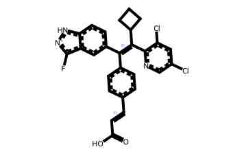 O=C(O)/C=C/c1ccc(/C(=C(\c2ncc(Cl)cc2Cl)C2CCC2)c2ccc3[nH]nc(F)c3c2)cc1